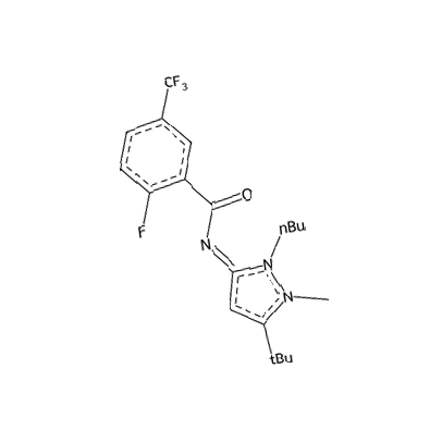 CCCCn1c(=NC(=O)c2cc(C(F)(F)F)ccc2F)cc(C(C)(C)C)n1C